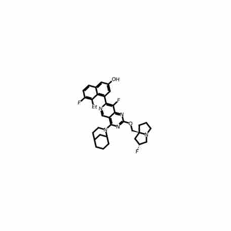 CCc1c(F)ccc2cc(O)cc(-c3ncc4c(N5CCC6CCCC5C6)nc(OC[C@@]56CCCN5C[C@H](F)C6)nc4c3F)c12